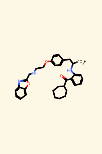 O=C(c1ccccc1NC(Cc1ccc(OCCNCc2nc3ccccc3o2)cc1)C(=O)O)C1CCCCCC1